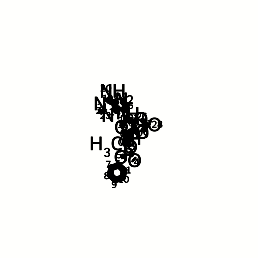 C[C@H](O[PH](=O)Oc1ccccc1)[C@H]1O[C@@H](n2cnc3c(N)ncnc32)[C@@H]2OC(=O)O[C@@H]21